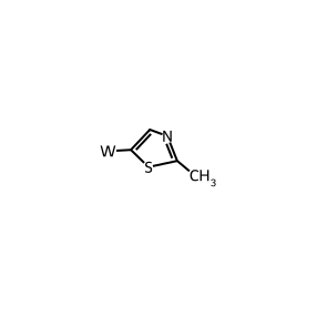 Cc1nc[c]([W])s1